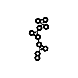 c1ccc([Si]2(c3ccc(-n4c5ccccc5c5cc(-c6ccc7c(c6)c6ccccc6n7-c6ccc7ccccc7c6)ccc54)cc3)c3ccccc3-c3ccccc32)cc1